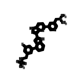 CN(C)Cc1cncc(-c2ccc3[nH]nc(-c4cc5c(-c6cc(F)cc(CNS(C)(=O)=O)c6)cccc5[nH]4)c3n2)c1